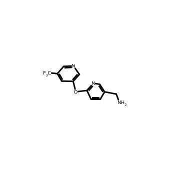 NCc1ccc(Oc2cncc(C(F)(F)F)c2)nc1